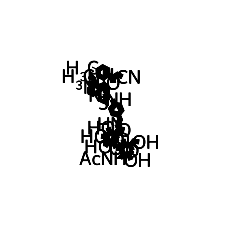 CC(=O)NC1C(O)OC(CO)C(O)C1OC1OC(C(=O)NCc2ccc(NC(=S)n3ccc4c(N(C)[C@H]5CN(C(=O)CC#N)CC[C@H]5C)ncnc43)cc2)C(O)C(O)C1O